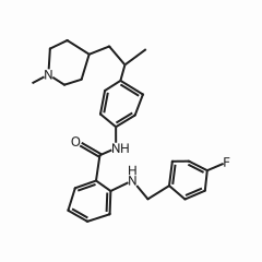 CC(CC1CCN(C)CC1)c1ccc(NC(=O)c2ccccc2NCc2ccc(F)cc2)cc1